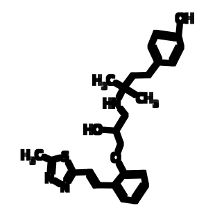 Cc1nnc(C=Cc2ccccc2OCC(O)CNC(C)(C)CCc2ccc(O)cc2)s1